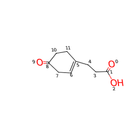 O=C(O)CCC1=CCC(=O)CC1